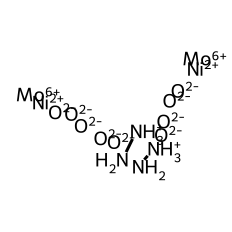 N[NH3+].N[NH3+].[Mo+6].[Mo+6].[Ni+2].[Ni+2].[O-2].[O-2].[O-2].[O-2].[O-2].[O-2].[O-2].[O-2].[O-2]